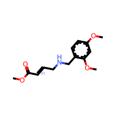 COC(=O)/C=C/CNCc1ccc(OC)cc1OC